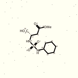 COC(=O)C[C@H](NS(=O)(=O)NC1CCCCC1)C(=O)O